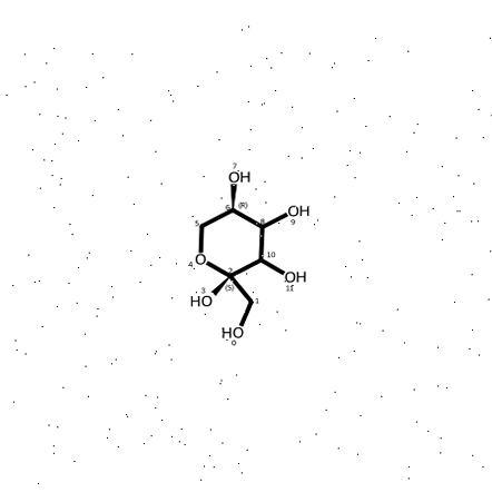 OC[C@]1(O)OC[C@@H](O)C(O)C1O